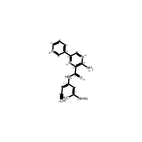 C#C/C=C(\C=C(/C)NC(C)=O)NC(=O)c1nc(-c2cccnc2)cnc1N